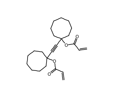 C=CC(=O)OC1(C#CC2(OC(=O)C=C)CCCCCCC2)CCCCCCC1